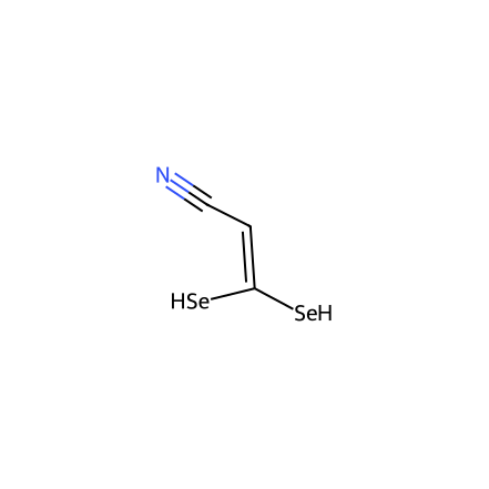 N#CC=C([SeH])[SeH]